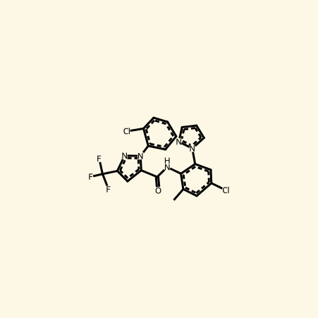 Cc1cc(Cl)cc(-n2cccn2)c1NC(=O)c1cc(C(F)(F)F)nn1-c1ccccc1Cl